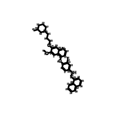 COc1cc2c(Oc3ccc(NSc4cccc5ccccc45)cc3F)ccnc2cc1OCCCN1CCCC(C)C1